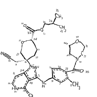 Cc1cc(Nc2nn([C@]3(CC#N)CC[C@@H](C(=O)OCC(C)C)OC3)c3cc[nH]c(=O)c23)ccc1C(=O)N1CCOCC1